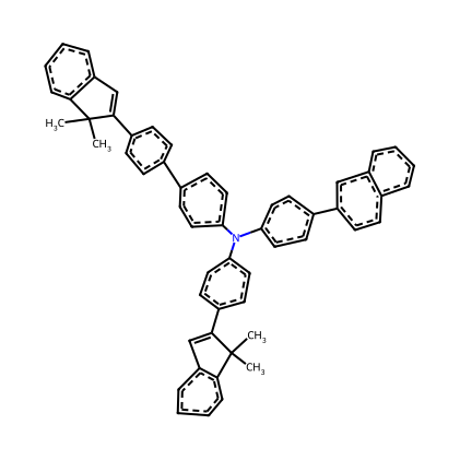 CC1(C)C(c2ccc(-c3ccc(N(c4ccc(C5=Cc6ccccc6C5(C)C)cc4)c4ccc(-c5ccc6ccccc6c5)cc4)cc3)cc2)=Cc2ccccc21